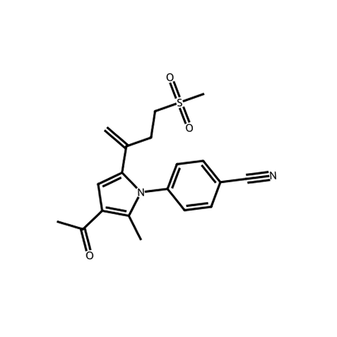 C=C(CCS(C)(=O)=O)c1cc(C(C)=O)c(C)n1-c1ccc(C#N)cc1